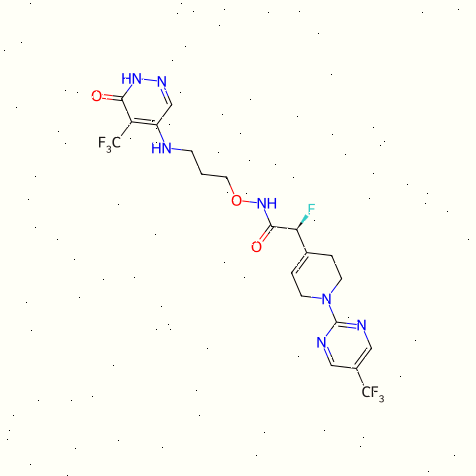 O=C(NOCCCNc1cn[nH]c(=O)c1C(F)(F)F)[C@@H](F)C1=CCN(c2ncc(C(F)(F)F)cn2)CC1